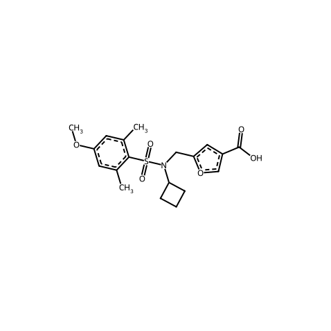 COc1cc(C)c(S(=O)(=O)N(Cc2cc(C(=O)O)co2)C2CCC2)c(C)c1